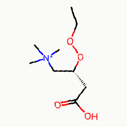 CCOO[C@H](CC(=O)O)C[N+](C)(C)C